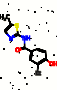 CCc1cc(C(=O)Nc2ncc(C)s2)ccc1O